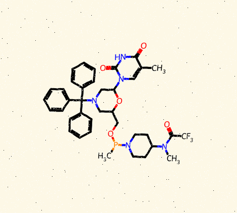 Cc1cn(C2CN(C(c3ccccc3)(c3ccccc3)c3ccccc3)CC(COP(C)N3CCC(N(C)C(=O)C(F)(F)F)CC3)O2)c(=O)[nH]c1=O